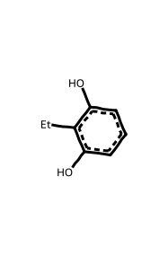 CCc1c(O)cccc1O